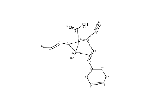 C#CC(C=CC1CC=CCC1)C1(C(=O)O)C(C=CC)C1(C)C